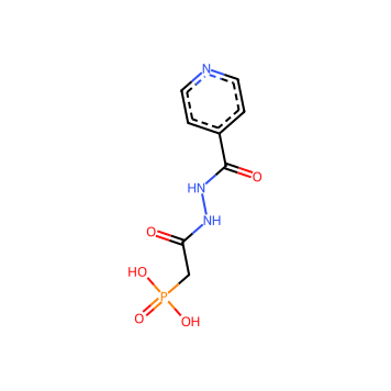 O=C(CP(=O)(O)O)NNC(=O)c1ccncc1